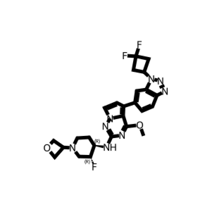 COc1nc(N[C@@H]2CCN(C3COC3)C[C@H]2F)nn2ccc(-c3ccc4nnn(C5CC(F)(F)C5)c4c3)c12